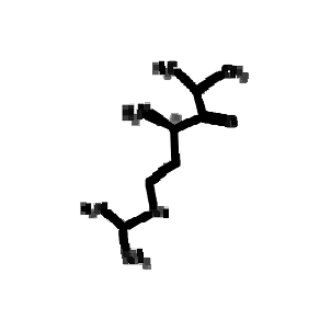 CC(C)C(=O)[C@H](N)CCNC(N)N